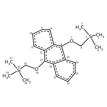 C[Si](C)(C)COc1c2ccccc2c(OC[Si](C)(C)C)c2ccccc12